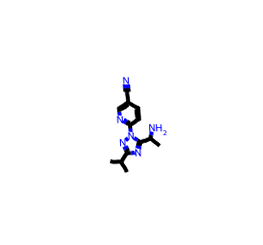 CC(C)c1nc(C(C)N)n(-c2ccc(C#N)cn2)n1